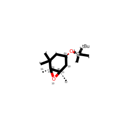 CC1(C)C[C@H](O[Si](C)(C)C(C)(C)C)C[C@@]2(C)O[C@@]12C